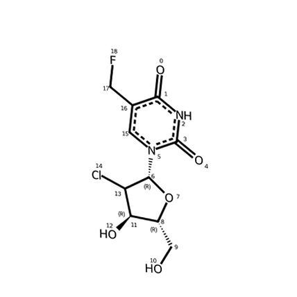 O=c1[nH]c(=O)n([C@@H]2O[C@H](CO)[C@@H](O)C2Cl)cc1CF